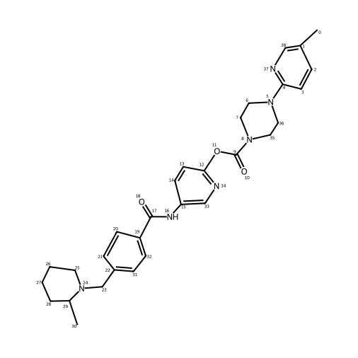 Cc1ccc(N2CCN(C(=O)Oc3ccc(NC(=O)c4ccc(CN5CCCCC5C)cc4)cn3)CC2)nc1